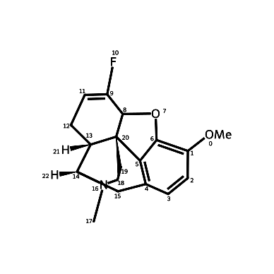 COc1ccc2c3c1OC1C(F)=CC[C@H]4[C@@H](C2)N(C)CC[C@]314